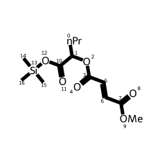 CCCC(OC(=O)C=CC(=O)OC)C(=O)O[Si](C)(C)C